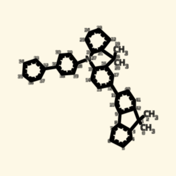 CC1(C)c2ccccc2-c2cc(-c3ccc4c(c3)C(C)(C)c3ccccc3N4c3ccc(-c4ccccc4)cc3)ccc21